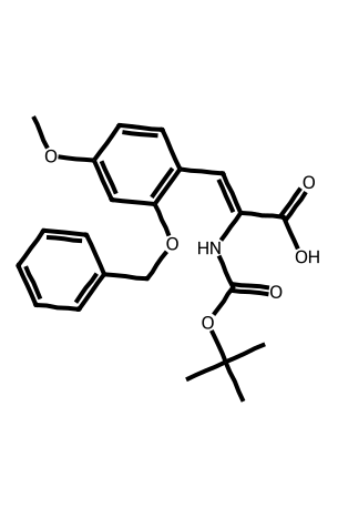 COc1ccc(C=C(NC(=O)OC(C)(C)C)C(=O)O)c(OCc2ccccc2)c1